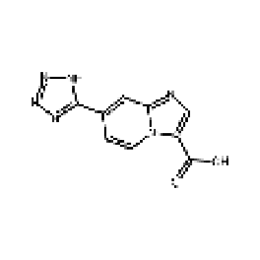 O=C(O)c1cnc2cc(-c3nnn[nH]3)ccn12